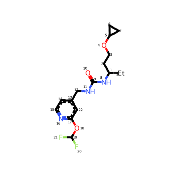 CCC(CCOC1CC1)NC(=O)NCc1ccnc(OC(F)F)c1